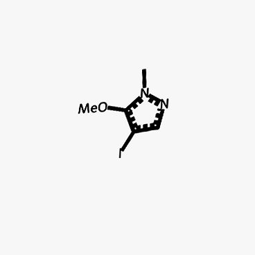 COc1c(I)cnn1C